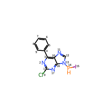 Clc1nc(-c2ccccc2)c2ncn(PI)c2n1